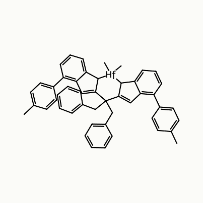 Cc1ccc(-c2cccc3c2C=C2[CH]3[Hf]([CH3])([CH3])[CH]3C(=Cc4c(-c5ccc(C)cc5)cccc43)C2(Cc2ccccc2)Cc2ccccc2)cc1